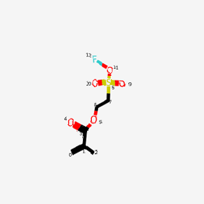 C=C(C)C(=O)OCCS(=O)(=O)OF